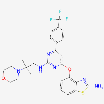 CC(C)(CNc1nc(Oc2cccc3sc(N)nc23)cc(-c2ccc(C(F)(F)F)cc2)n1)N1CCOCC1